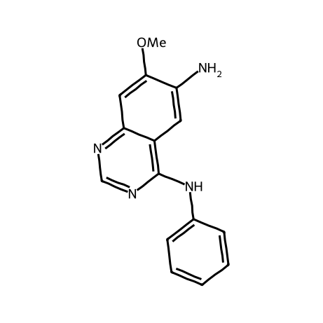 COc1cc2ncnc(Nc3ccccc3)c2cc1N